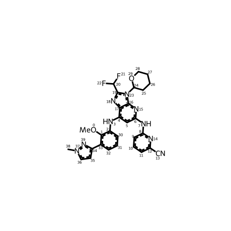 COc1c(Nc2cc(Nc3cccc(C#N)n3)nc3c2nc(C(F)F)n3C2CCCCO2)cccc1-c1ccn(C)n1